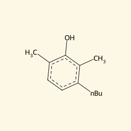 CCCCc1ccc(C)c(O)c1C